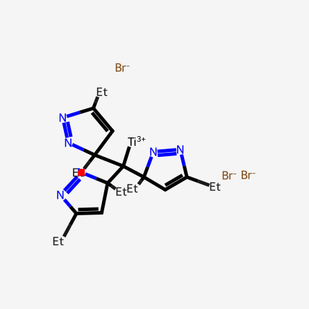 CCC1=CC(CC)([C]([Ti+3])(C2(CC)C=C(CC)N=N2)C2(CC)C=C(CC)N=N2)N=N1.[Br-].[Br-].[Br-]